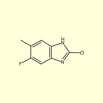 Cc1cc2[nH]c(Cl)nc2cc1F